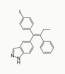 CC/C(=C(\c1ccc(I)cc1)c1ccc2[nH]ncc2c1)c1ccccc1